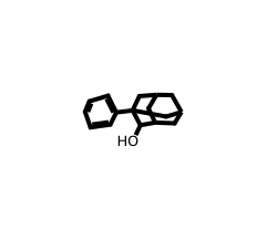 OC1C2CC3CC(C2)CC1(c1ccccc1)C3